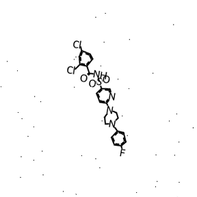 O=C(NS(=O)(=O)c1ccc(N2CCN(c3ccc(F)cc3)CC2)nc1)c1ccc(Cl)cc1Cl